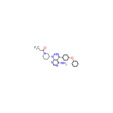 CN(c1ncnc(N)c1C(=N)c1ccc(Oc2ccccc2)cc1)[C@@H]1CCCN(C(=O)CC(F)(F)F)C1